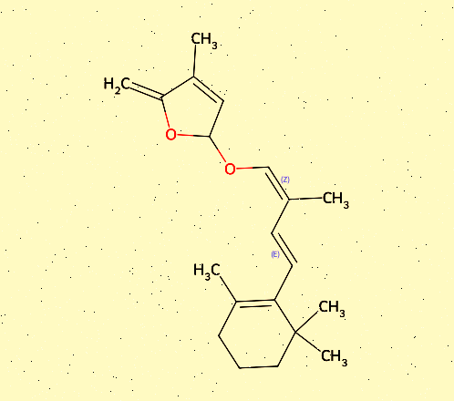 C=C1OC(O/C=C(C)\C=C\C2=C(C)CCCC2(C)C)C=C1C